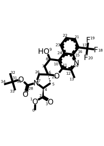 COC(=O)[C@@H]1C[C@@]2(CC(O)c3c(c(C)nc4c(C(F)(F)F)cccc34)O2)CN1C(=O)OC(C)(C)C